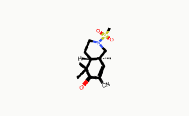 CC1(C)C(=O)C(C#N)=C[C@]2(C)CN(S(C)(=O)=O)CC[C@@H]12